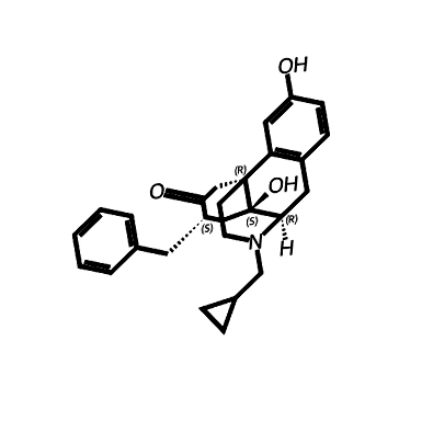 O=C1C[C@]23CCN(CC4CC4)[C@H](Cc4ccc(O)cc42)[C@]3(O)C[C@@H]1Cc1ccccc1